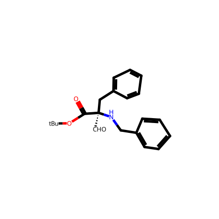 CC(C)(C)OC(=O)[C@@](C=O)(Cc1ccccc1)NCc1ccccc1